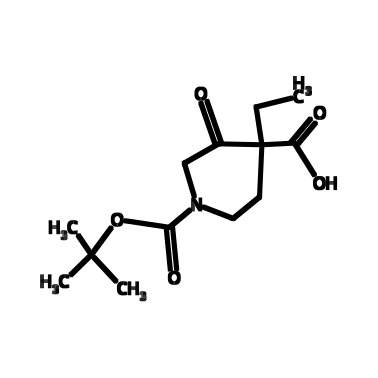 CCC1(C(=O)O)CCN(C(=O)OC(C)(C)C)CC1=O